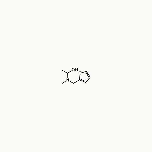 CC(O)N(C)Cc1ccco1